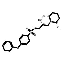 C[C@@H]1CCC[C@H](C)N1C[C@@H](O)CNS(=O)(=O)C1C=CC(OC2=CC=CCC2)=CC1